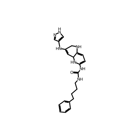 O=C(NCCCCc1ccccc1)NC1=CC=C2NCC(Nc3cn[nH]c3)=CC2N1